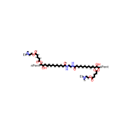 CCCCCC(OC(=O)CCCC(=O)OCCN(C)CC)C(O)CC=CCCCCCCCC(=O)NCCNC(=O)CCCCCCCC=CCC(O)C(CCCCC)OC(=O)CCCC(=O)OCCN(C)CC